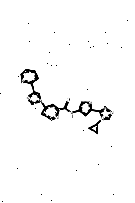 O=C(Nc1csc(-c2nncn2C2CC2)c1)c1cc(-n2cnc(-c3ccccn3)c2)ccn1